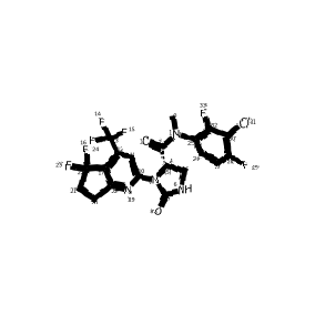 CN(C(=O)[C@@H]1CNC(=O)N1c1cc(C(F)(F)F)c2c(n1)CCC2(F)F)c1ccc(F)c(Cl)c1F